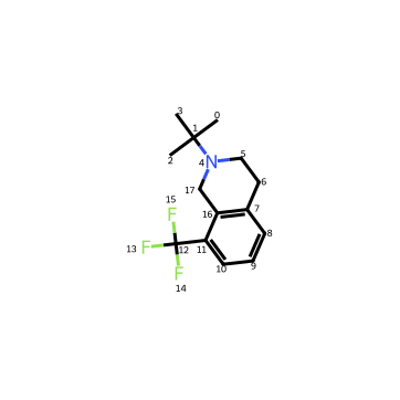 CC(C)(C)N1CCc2cccc(C(F)(F)F)c2C1